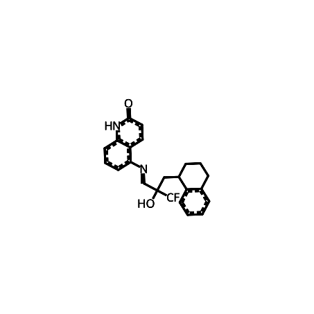 O=c1ccc2c(N=CC(O)(CC3CCCc4ccccc43)C(F)(F)F)cccc2[nH]1